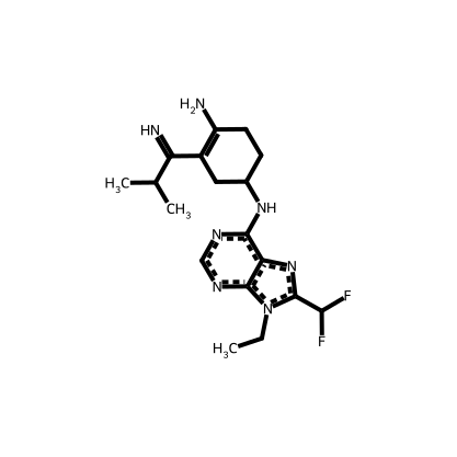 CCn1c(C(F)F)nc2c(NC3CCC(N)=C(C(=N)C(C)C)C3)ncnc21